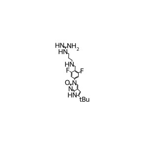 CC(C)(C)c1cc2cn(-c3cc(F)c(CNCCCNC(=N)N)c(F)c3)c(=O)nc2[nH]1